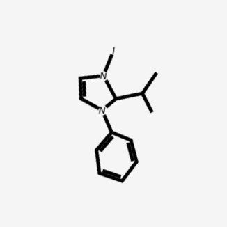 CC(C)C1N(I)C=CN1c1ccccc1